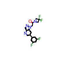 O=C(Cn1ncc2ncc(-c3cc(F)cc(F)c3)cc21)N1CC(F)(F)C1